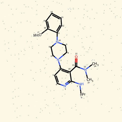 CCCNc1nccc(N2CCN(c3ccccc3OC)CC2)c1C(=O)N(C)C